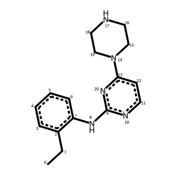 CCc1ccccc1Nc1nccc(N2CCNCC2)n1